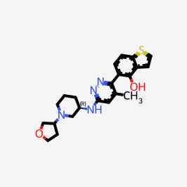 Cc1cc(N[C@@H]2CCCN(C3CCOC3)C2)nnc1-c1ccc2sccc2c1O